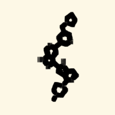 CN1CCN(c2nccc3[nH]c(-c4n[nH]c5cnc(-c6cncc(CN7CCCC7)c6)cc45)cc23)CC1